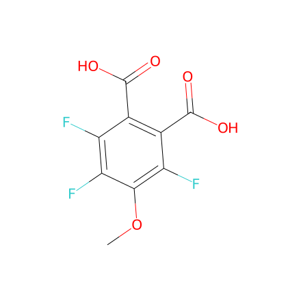 COc1c(F)c(F)c(C(=O)O)c(C(=O)O)c1F